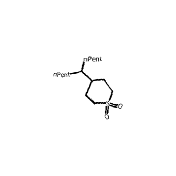 CCCCCC(CCCCC)C1CCS(=O)(=O)CC1